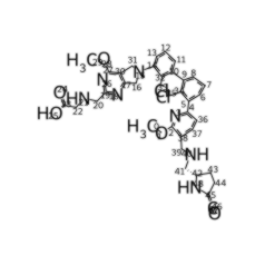 COc1nc(-c2cccc(-c3cccc(N4Cc5nc(CNCC(=O)O)nc(OC)c5C4)c3Cl)c2Cl)ccc1CNC[C@@H]1CCC(=C=O)N1